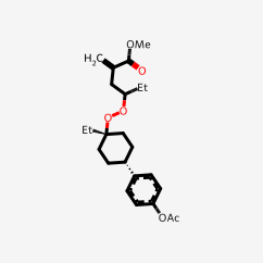 C=C(CC(CC)OO[C@]1(CC)CC[C@H](c2ccc(OC(C)=O)cc2)CC1)C(=O)OC